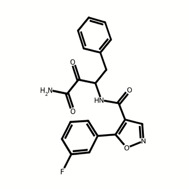 NC(=O)C(=O)C(Cc1ccccc1)NC(=O)c1cnoc1-c1cccc(F)c1